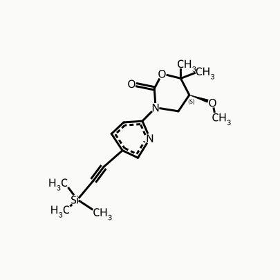 CO[C@H]1CN(c2ccc(C#C[Si](C)(C)C)cn2)C(=O)OC1(C)C